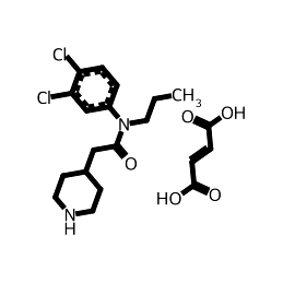 CCCN(C(=O)CC1CCNCC1)c1ccc(Cl)c(Cl)c1.O=C(O)/C=C/C(=O)O